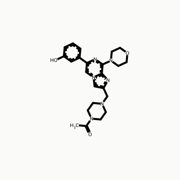 CC(=O)N1CCN(Cc2cn3cc(-c4cccc(O)c4)nc(N4CCOCC4)c3n2)CC1